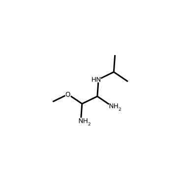 COC(N)C(N)NC(C)C